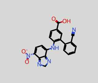 N#Cc1ccccc1-c1cc(C(=O)O)ccc1Nc1ccc([N+](=O)[O-])c2c1=NCN=2